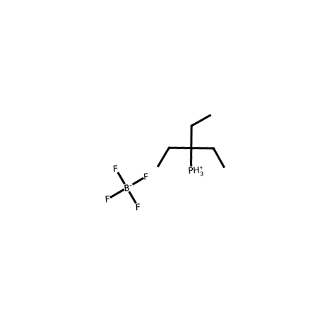 CCC([PH3+])(CC)CC.F[B-](F)(F)F